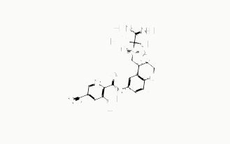 Cc1cc(C#N)cnc1C(=O)Nc1ccc2c(c1)C(CS(=O)(=O)C(C)(C)C(=N)N)CCO2